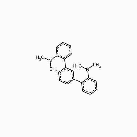 CN(C)c1ccccc1-c1cccc(-c2ccccc2N(C)C)c1